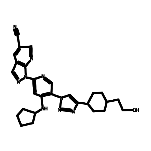 N#Cc1cnc2c(cnn2-c2cc(NC3CCCC3)c(-n3cc(C4CCC(CCO)CC4)nn3)cn2)c1